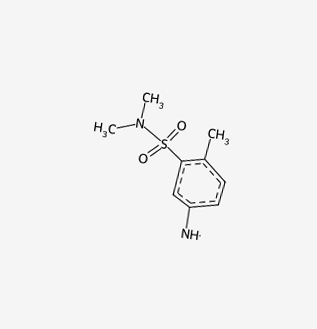 Cc1ccc([NH])cc1S(=O)(=O)N(C)C